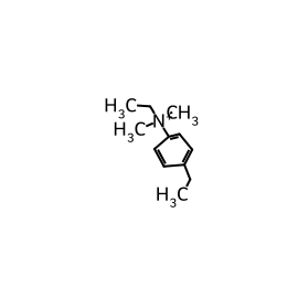 CCc1ccc([N+](C)(C)CC)cc1